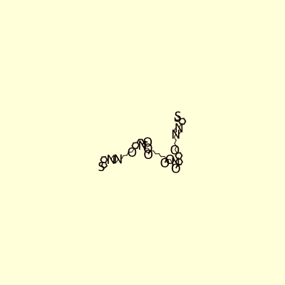 O=C(CCCCCC(=O)OCn1c(=O)ccc2ccc(OCCCCN3CCN(c4cccc5sccc45)CC3)cc21)OCn1c(=O)ccc2ccc(OCCCCN3CCN(c4cccc5sccc45)CC3)cc21